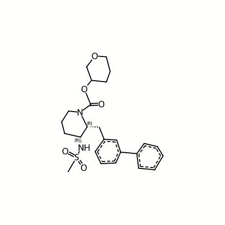 CS(=O)(=O)N[C@@H]1CCCN(C(=O)OC2CCCOC2)[C@@H]1Cc1cccc(-c2ccccc2)c1